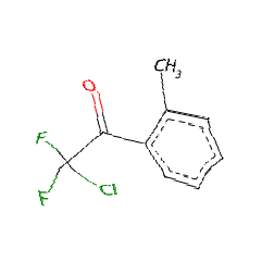 Cc1ccccc1C(=O)C(F)(F)Cl